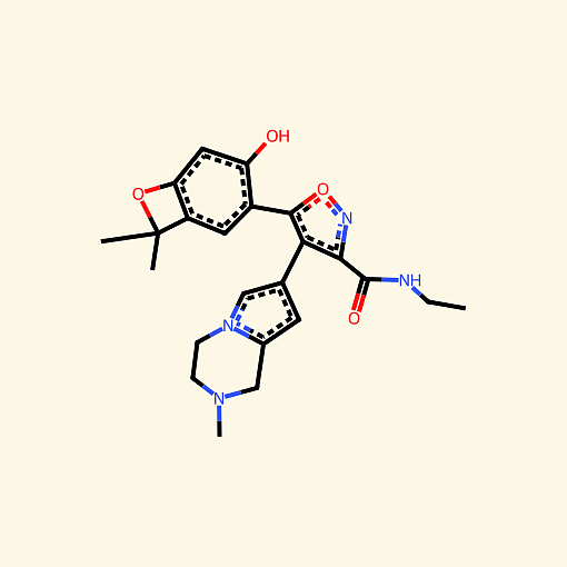 CCNC(=O)c1noc(-c2cc3c(cc2O)OC3(C)C)c1-c1cc2n(c1)CCN(C)C2